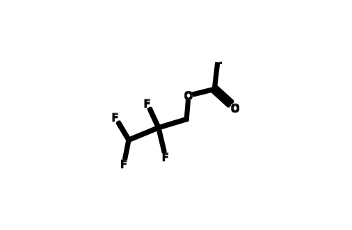 [CH2]C(=O)OCC(F)(F)C(F)F